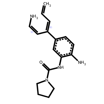 C=C/C=C(\C=C/N)c1ccc(N)c(NC(=O)N2CCCC2)c1